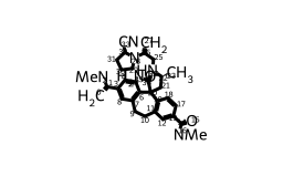 C=C(NC)c1ccc2c(c1)CCc1cc(C(=O)NC)ccc1C2(C[C@@H](C)NCC(=C)N1CCCC1C#N)C(N)=O